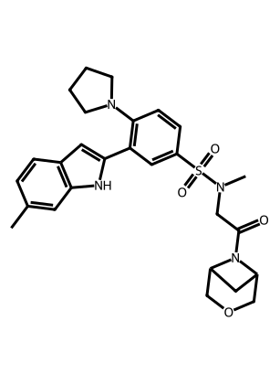 Cc1ccc2cc(-c3cc(S(=O)(=O)N(C)CC(=O)N4C5COCC4C5)ccc3N3CCCC3)[nH]c2c1